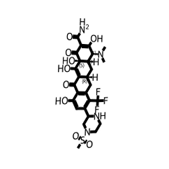 CN(C)[C@@H]1C(O)=C(C(N)=O)C(=O)[C@@]2(O)C(O)=C3C(=O)c4c(O)cc(C5CN(S(C)(=O)=O)CCN5)c(C(F)(F)F)c4C[C@H]3C[C@@H]12